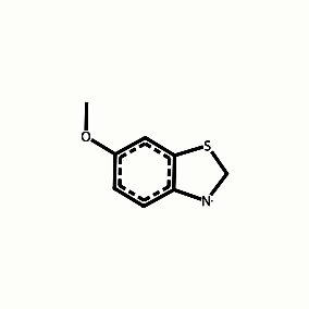 COc1ccc2c(c1)SC[N]2